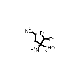 N#CCCC(N)(C=O)C(F)F